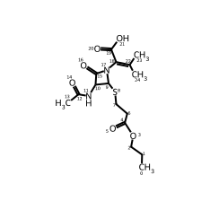 CCCOC(=O)CCSC1C(NC(C)=O)C(=O)N1C(C(=O)O)=C(C)C